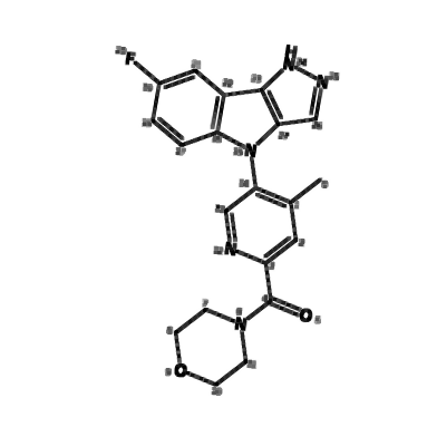 Cc1cc(C(=O)N2CCOCC2)ncc1-n1c2ccc(F)cc2c2[nH]ncc21